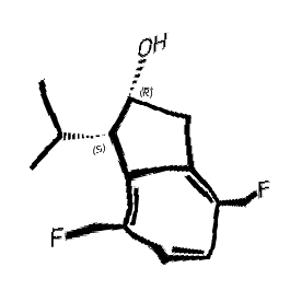 CC(C)[C@H]1c2c(F)ccc(F)c2C[C@H]1O